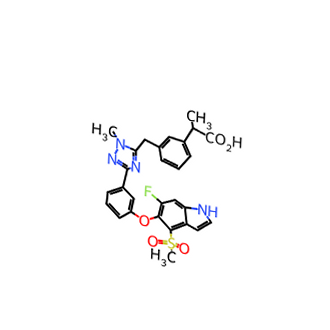 CC(C(=O)O)c1cccc(Cc2nc(-c3cccc(Oc4c(F)cc5[nH]ccc5c4S(C)(=O)=O)c3)nn2C)c1